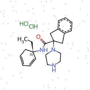 CC[C@@]1(NC(=O)C2(N3CCNCC3)Cc3ccccc3C2)C=CC=CC1.Cl.Cl